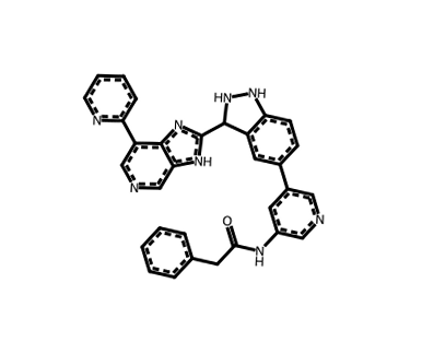 O=C(Cc1ccccc1)Nc1cncc(-c2ccc3c(c2)C(c2nc4c(-c5ccccn5)cncc4[nH]2)NN3)c1